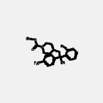 CC(C)(C)OC(=O)N1CCC(CC(C#N)(c2ccc(C(F)(F)F)cc2)c2ccccc2Br)CC1